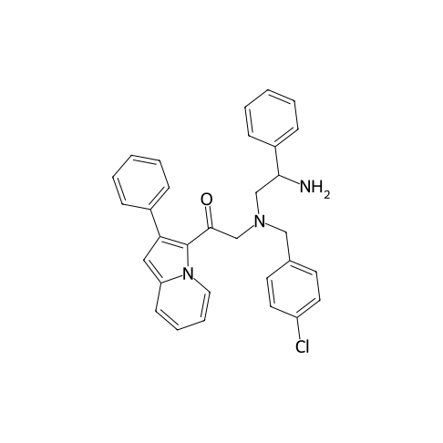 NC(CN(CC(=O)c1c(-c2ccccc2)cc2ccccn12)Cc1ccc(Cl)cc1)c1ccccc1